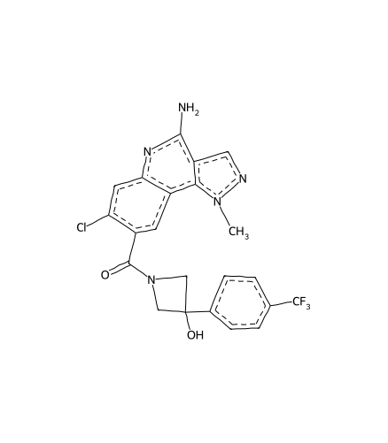 Cn1ncc2c(N)nc3cc(Cl)c(C(=O)N4CC(O)(c5ccc(C(F)(F)F)cc5)C4)cc3c21